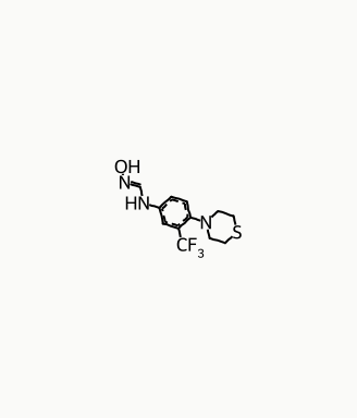 O/N=C/Nc1ccc(N2CCSCC2)c(C(F)(F)F)c1